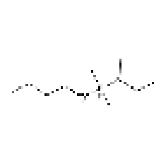 CCCCO[PH](C)(C)N(C)CC